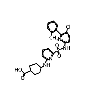 Cc1ccccc1-c1nc(NS(=O)(=O)c2cccc(NC3CCC(C(=O)O)CC3)n2)ccc1Cl